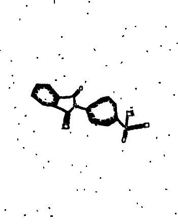 O=C1c2ccccc2C(=O)N1c1ccc(S(=O)(=O)Cl)cc1